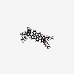 CC(C)(C)OC(=O)Oc1cc(O)cc(-c2ccc3c(c2)C2(c4cc(-c5cc(O)cc(OC(=O)OC(C)(C)C)c5)ccc4-3)c3cc(-c4cc(O)cc(OC(=O)OC(C)(C)C)c4)ccc3-c3ccc(-c4cc(O)cc(OC(=O)OC(C)(C)C)c4)cc32)c1